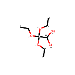 CCO[Si](OCC)(OCC)C(O)O